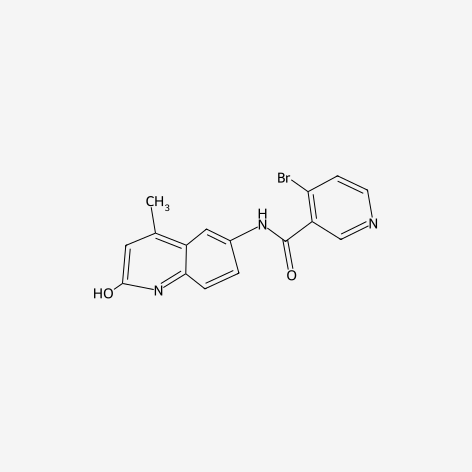 Cc1cc(O)nc2ccc(NC(=O)c3cnccc3Br)cc12